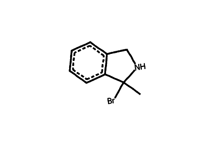 CC1(Br)NCc2ccccc21